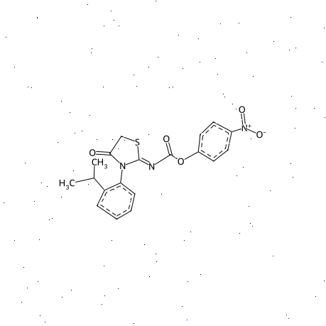 CC(C)c1ccccc1N1C(=O)CSC1=NC(=O)Oc1ccc([N+](=O)[O-])cc1